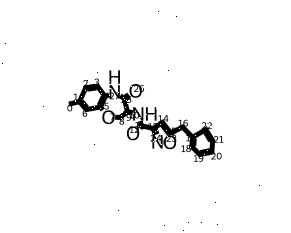 Cc1ccc2c(c1)OCC(NC(=O)c1cc(Cc3ccccc3)on1)C(=O)N2